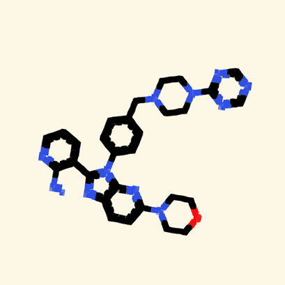 Nc1ncccc1-c1nc2ccc(N3CCOCC3)nc2n1-c1ccc(CN2CCN(c3ncncn3)CC2)cc1